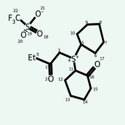 CCC(=O)C[S+](C1CCCCC1)C1CCCCC1=O.O=S(=O)([O-])C(F)(F)F